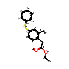 CCOC(=O)Cc1ccc(Sc2ccccc2)cc1C